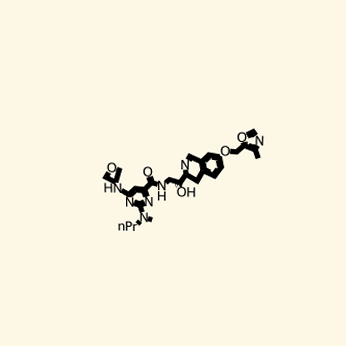 CCCN(C)c1nc(NC2COC2)cc(C(=O)NC[C@@H](O)C2Cc3ccc(OCc4ocnc4C)cc3C=N2)n1